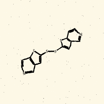 c1cc2sc(SSc3cc4cnccc4s3)cc2cn1